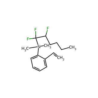 C=Cc1ccccc1[Si](C)(C)C(F)(F)C(F)CCCC